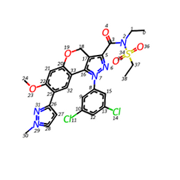 CCN(C(=O)c1nn(-c2cc(Cl)cc(Cl)c2)c2c1COc1cc(OC)c(-c3ccn(C)n3)cc1-2)S(=O)(=O)CC